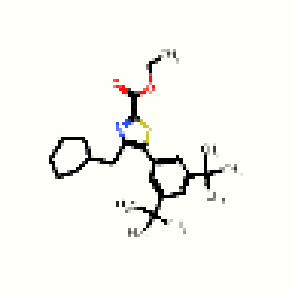 CCOC(=O)c1nc(CC2CCCCC2)c(-c2cc(C(C)(C)C)cc(C(C)(C)C)c2)s1